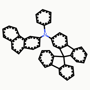 c1ccc(N(c2ccc3c(c2)C2(c4ccccc4-c4ccccc42)c2ccccc2-3)c2ccc3ccc4ccccc4c3c2)cc1